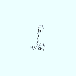 CCBCCCC=C[Si](C)(C)C